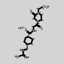 Cl.N=C(N)NC[C@H]1CC[C@H](C(=O)NCC(=O)N2CCN(CC(=O)O)C(=O)C2)CC1